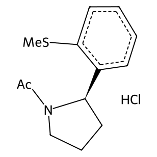 CSc1ccccc1[C@H]1CCCN1C(C)=O.Cl